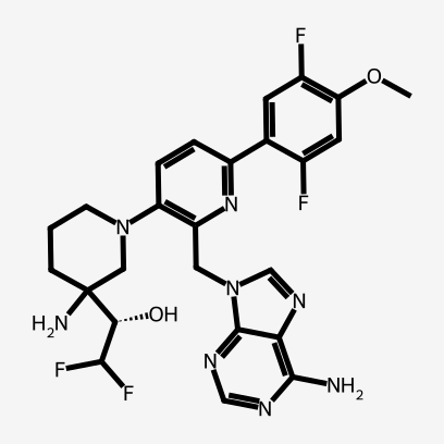 COc1cc(F)c(-c2ccc(N3CCCC(N)([C@H](O)C(F)F)C3)c(Cn3cnc4c(N)ncnc43)n2)cc1F